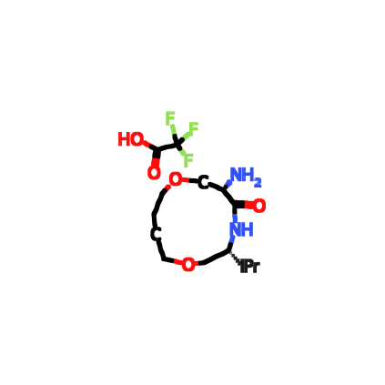 CC(C)[C@@H]1COCCCCOC[C@@H](N)C(=O)N1.O=C(O)C(F)(F)F